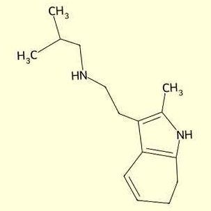 Cc1[nH]c2c(c1CCNCC(C)C)C=CCC2